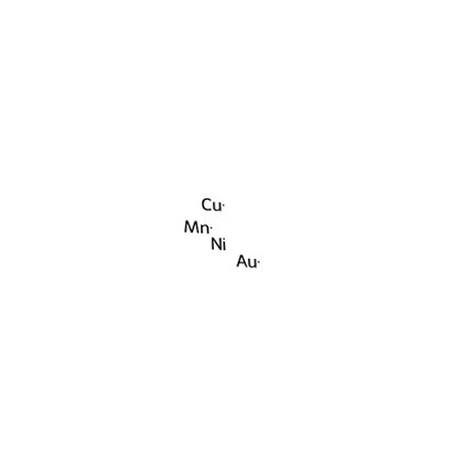 [Au].[Cu].[Mn].[Ni]